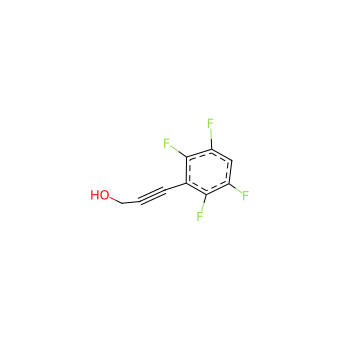 OCC#Cc1c(F)c(F)cc(F)c1F